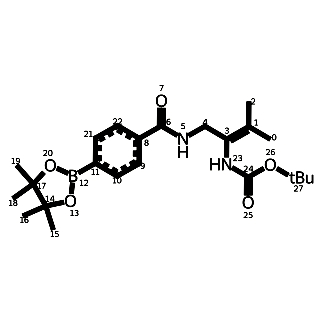 CC(C)=C(CNC(=O)c1ccc(B2OC(C)(C)C(C)(C)O2)cc1)NC(=O)OC(C)(C)C